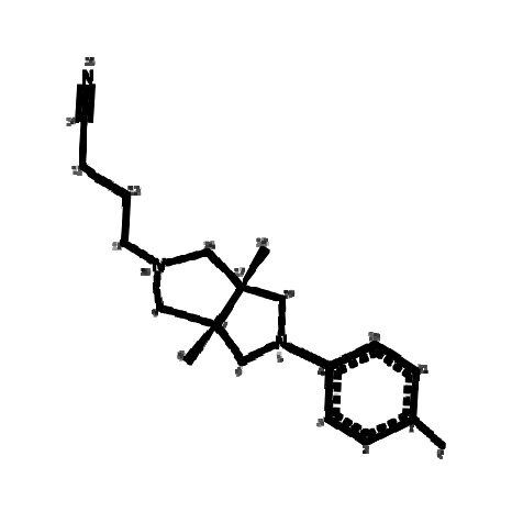 Cc1ccc(N2C[C@]3(C)CN(CCCC#N)C[C@]3(C)C2)cc1